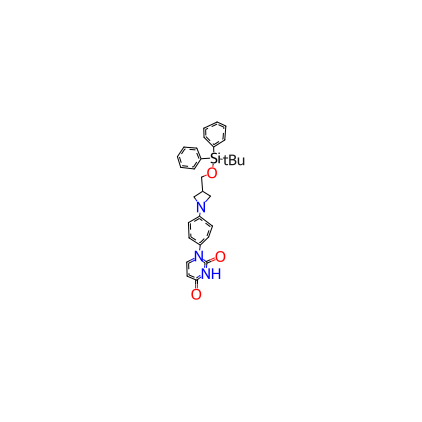 CC(C)(C)[Si](OCC1CN(c2ccc(-n3ccc(=O)[nH]c3=O)cc2)C1)(c1ccccc1)c1ccccc1